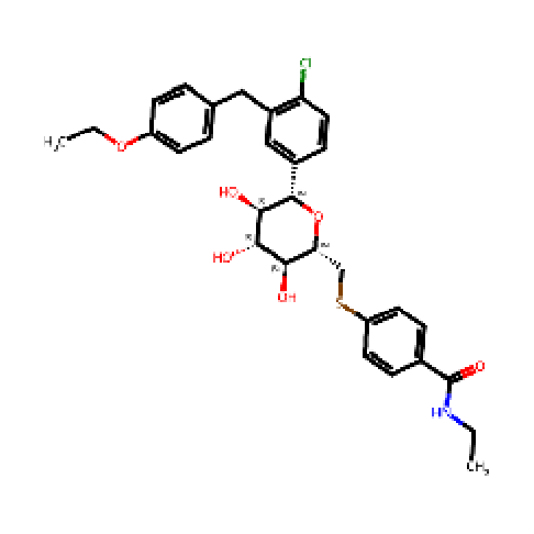 CCNC(=O)c1ccc(SC[C@H]2O[C@@H](c3ccc(Cl)c(Cc4ccc(OCC)cc4)c3)[C@H](O)[C@@H](O)[C@@H]2O)cc1